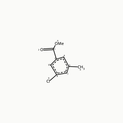 COC(=O)c1[c]c(C)cc(Cl)c1